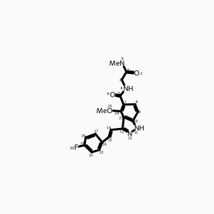 CNC(=O)CNC(=O)c1ccc2[nH]nc(/C=C/c3ccc(F)cc3)c2c1OC